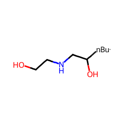 CCC[CH]C(O)CNCCO